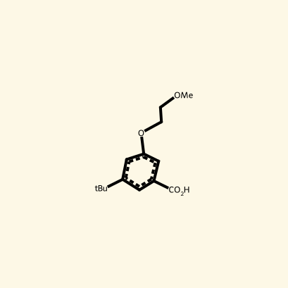 COCCOc1cc(C(=O)O)cc(C(C)(C)C)c1